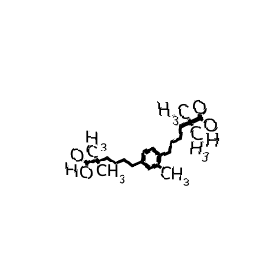 Cc1cc(CCCCC(C)(C)C(=O)O)ccc1CCCCC(C)(C)C(=O)O